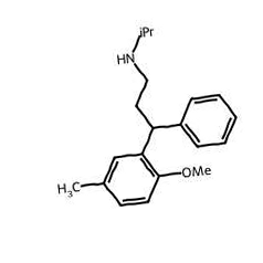 COc1ccc(C)cc1C(CCNC(C)C)c1ccccc1